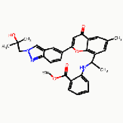 Cc1cc(C(C)Nc2ccccc2C(=O)OC(C)(C)C)c2oc(-c3ccc4nn(CC(C)(C)O)cc4c3)cc(=O)c2c1